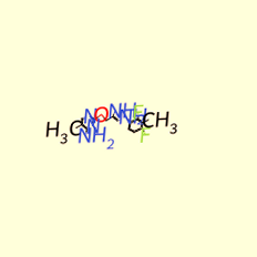 Cc1cnc(OC/C(N)=C/Nc2ccc(F)c(C)c2F)nc1N